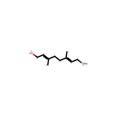 COC/C=C(\C)CC/C(C)=C/CO